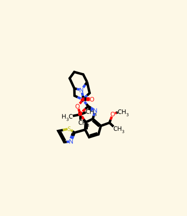 COC(C)c1ccc(-c2nccs2)c2oc(N3CC4CCCC(C3)N4C(=O)OC(C)(C)C)nc12